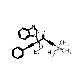 CCOC(C#Cc1ccccc1)(C(=O)C#C[Si](C)(C)C)n1nnc2ccccc21